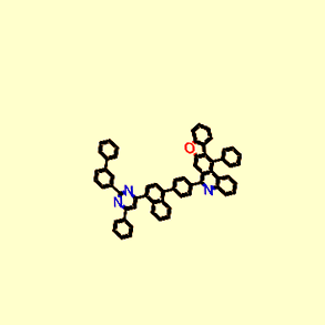 c1ccc(-c2cccc(-c3nc(-c4ccccc4)cc(-c4ccc(-c5ccc(-c6nc7ccccc7c7c(-c8ccccc8)c8c(cc67)oc6ccccc68)cc5)c5ccccc45)n3)c2)cc1